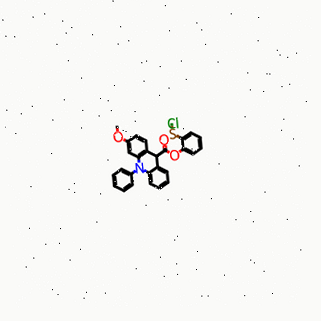 COc1ccc2c(c1)N(c1ccccc1)c1ccccc1C2C(=O)Oc1ccccc1SCl